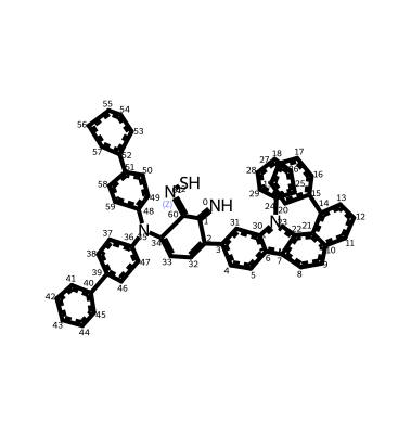 N=C1C(c2ccc3c4ccc5cccc(-c6ccccc6)c5c4n(-c4ccccc4)c3c2)=CC=C(N(c2ccc(-c3ccccc3)cc2)c2ccc(-c3ccccc3)cc2)/C1=N/S